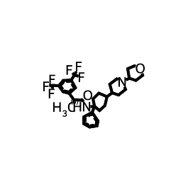 C[C@H](C(=O)NC1(c2ccccc2)CCC(C2CCN(C3CCOCC3)CC2)CC1)c1cc(C(F)(F)F)cc(C(F)(F)F)c1